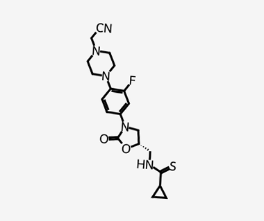 N#CCN1CCN(c2ccc(N3C[C@H](CNC(=S)C4CC4)OC3=O)cc2F)CC1